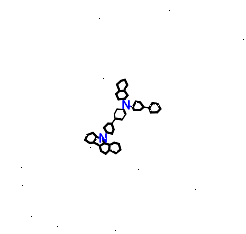 C1=C(c2ccc(-n3c4ccccc4c4ccc5ccccc5c43)cc2)CCC(N(c2ccc(-c3ccccc3)cc2)c2ccc3ccccc3c2)=C1